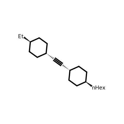 CCCCCC[C@H]1CC[C@H](C#C[C@H]2CC[C@H](CC)CC2)CC1